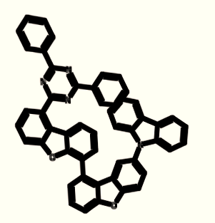 c1ccc(-c2nc(-c3ccccc3)nc(-c3cccc4oc5c(-c6cccc7oc8ccc(-n9c%10ccccc%10c%10ccccc%109)cc8c67)cccc5c34)n2)cc1